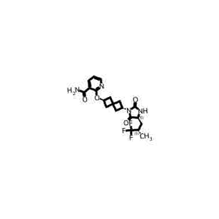 C[C@@H](C[C@@H]1NC(=O)N([C@H]2CC3(C[C@H](Oc4ncccc4C(N)=O)C3)C2)C1=O)C(F)(F)F